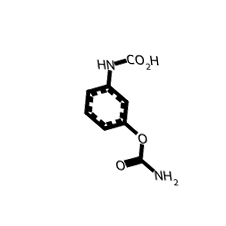 NC(=O)Oc1cccc(NC(=O)O)c1